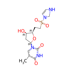 Cc1cn([C@H]2C[C@@H](O)[C@@H](CCS(=O)(=O)N3C=CNC3)O2)c(=O)[nH]c1=O